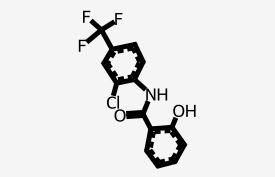 O=C(Nc1ccc(C(F)(F)F)cc1Cl)c1ccccc1O